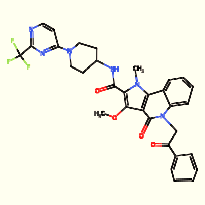 COc1c(C(=O)NC2CCN(c3ccnc(C(F)(F)F)n3)CC2)n(C)c2c1c(=O)n(CC(=O)c1ccccc1)c1ccccc21